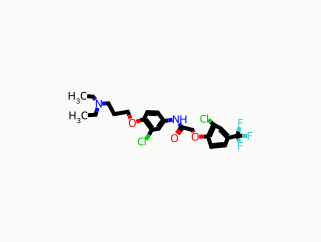 CCN(CC)CCCOc1ccc(NC(=O)COc2ccc(C(F)(F)F)cc2Cl)cc1Cl